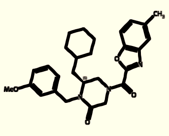 COc1cccc(CN2C(=O)CN(C(=O)c3nc4cc(C)ccc4o3)C[C@@H]2CC2CCCCC2)c1